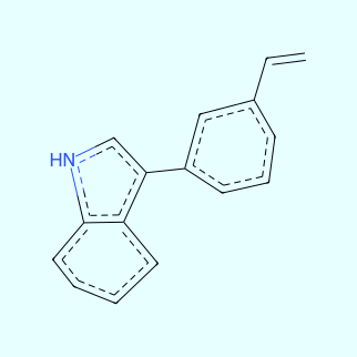 C=Cc1cccc(-c2c[nH]c3ccccc23)c1